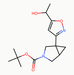 CC(O)c1cc(C23CC2CN(C(=O)OC(C)(C)C)C3)no1